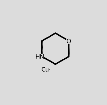 C1COCCN1.[Cu]